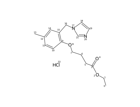 CCOC(=O)CCCOc1ccc(C)cc1Cn1ccnc1.Cl